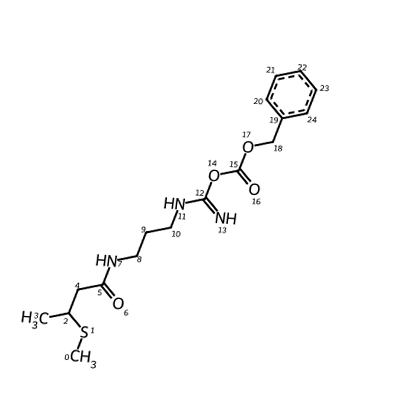 CSC(C)CC(=O)NCCCNC(=N)OC(=O)OCc1ccccc1